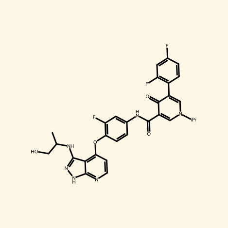 CC(CO)Nc1n[nH]c2nccc(Oc3ccc(NC(=O)c4cn(C(C)C)cc(-c5ccc(F)cc5F)c4=O)cc3F)c12